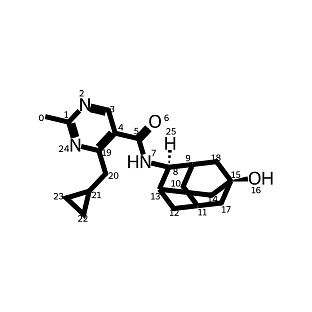 Cc1ncc(C(=O)N[C@H]2C3CC4CC2C[C@@](O)(C4)C3)c(CC2CC2)n1